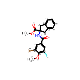 COC(=O)C1(NC(=O)c2cc(F)c(OC)c(Br)c2)Cc2ccccc2C1